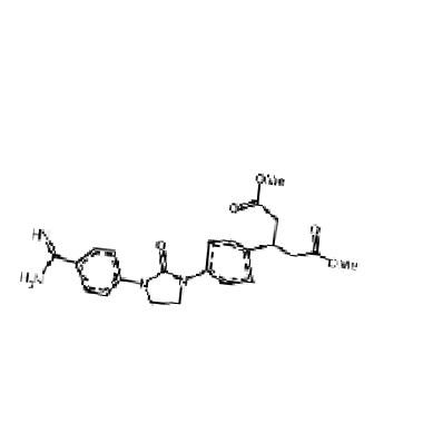 COC(=O)CC(CC(=O)OC)c1ccc(N2CCN(c3ccc(C(=N)N)cc3)C2=O)cc1